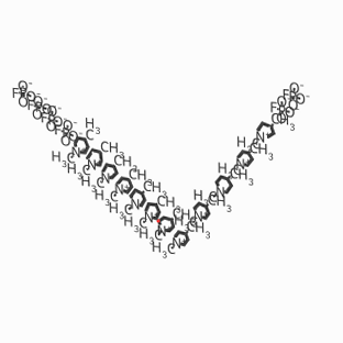 Cc1cc[n+](C)cc1.Cc1cc[n+](C)cc1.Cc1cc[n+](C)cc1.Cc1cc[n+](C)cc1.Cc1cc[n+](C)cc1.Cc1cc[n+](C)cc1.Cc1cc[n+](C)cc1.Cc1cc[n+](C)cc1.Cc1cc[n+](C)cc1.Cc1cc[n+](C)cc1.Cc1cc[n+](C)cc1.Cc1cc[n+](C)cc1.O=P([O-])([O-])F.O=P([O-])([O-])F.O=P([O-])([O-])F.O=P([O-])([O-])F.O=P([O-])([O-])F.O=P([O-])([O-])F